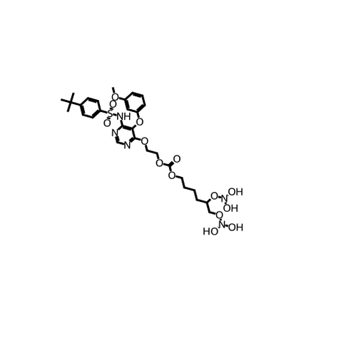 COc1cccc(Oc2c(NS(=O)(=O)c3ccc(C(C)(C)C)cc3)ncnc2OCCOC(=O)OCCCCC(CON(O)O)ON(O)O)c1